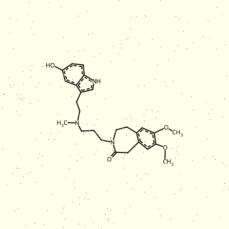 COc1cc2c(cc1OC)CC(=O)N(CCCN(C)CCc1c[nH]c3ccc(O)cc13)CC2